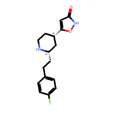 O=c1cc([C@H]2CCN[C@@H](CCc3ccc(F)cc3)C2)o[nH]1